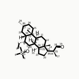 CC[C@H]1[C@@H](O[Si](C)(C)C)[C@@H]2[C@H](CC[C@]3(C)[C@@H]([C@H](C)C=O)CC[C@@H]23)[C@@]2(C)CC[C@@H](C)C[C@@H]12